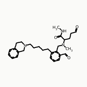 CNC(=O)C(CCC=O)N(C)Cc1c(C=O)cccc1CCCCCN1CCc2ccccc2C1